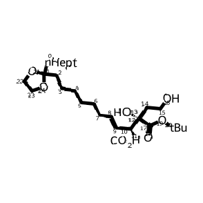 CCCCCCCC1(CCCCCC/C=C/[C@H](C(=O)O)[C@@](O)(CCO)C(=O)OC(C)(C)C)OCCO1